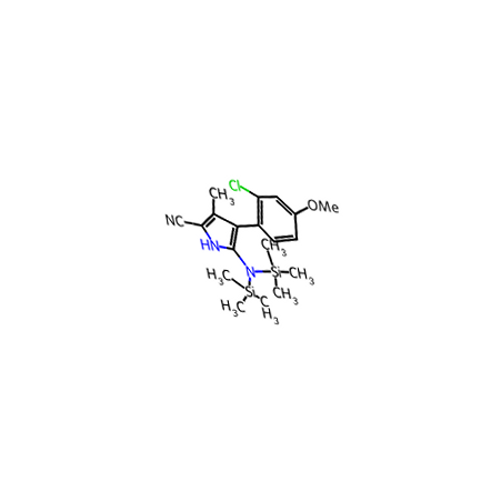 COc1ccc(-c2c(N([Si](C)(C)C)[Si](C)(C)C)[nH]c(C#N)c2C)c(Cl)c1